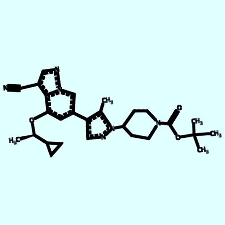 Cc1c(-c2cc(O[C@H](C)C3CC3)c3c(C#N)cnn3c2)cnn1C1CCN(C(=O)OC(C)(C)C)CC1